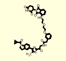 Cc1sc(C(=O)CNC(=O)Cc2cccc(OCCOCCNc3cccc4c3C(=O)N(C3CCC(=O)NC3=O)C4=O)c2)nc1-c1ccc2c(c1)CCN2C(=O)C1CC1